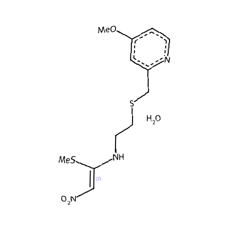 COc1ccnc(CSCCN/C(=C/[N+](=O)[O-])SC)c1.O